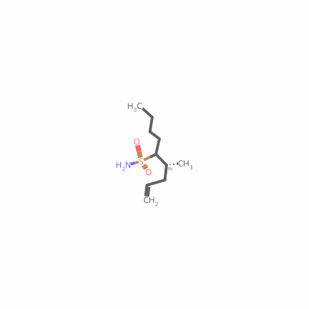 C=CC[C@@H](C)C(CCCC)S(N)(=O)=O